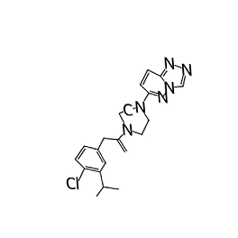 C=C(Cc1ccc(Cl)c(C(C)C)c1)N1CCN(c2ccc3nncn3n2)CC1